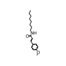 CCCCCCCCNC(=O)C=Cc1ccc(OC)cc1